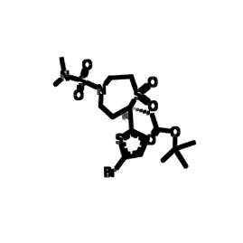 CN(C)S(=O)(=O)N1CC[C@](CC(=O)OC(C)(C)C)(c2ccc(Br)s2)S(=O)(=O)CC1